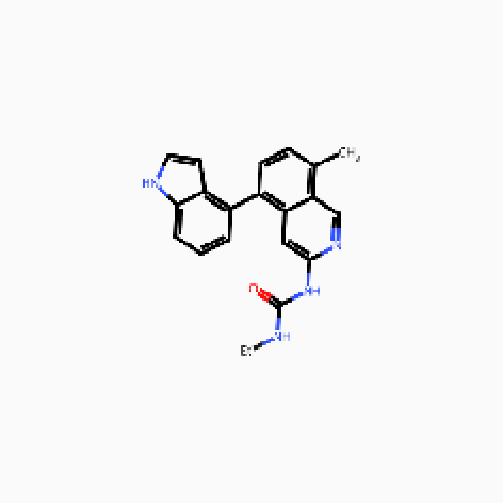 CCNC(=O)Nc1cc2c(-c3cccc4[nH]ccc34)ccc(C)c2cn1